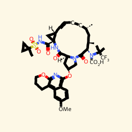 COc1ccc2c(O[C@@H]3C[C@H]4C(=O)N[C@]5(C(=O)NS(=O)(=O)C6(C)CC6)C[C@H]5/C=C\CC[C@H](C)C[C@@H](C)[C@H](N(C(=O)O)C(C)(C)C(F)(F)F)C(=O)N4C3)nc3c(c2c1)CCCO3